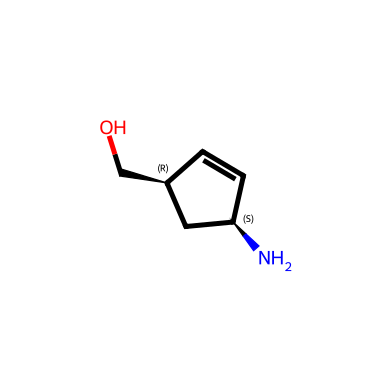 N[C@@H]1C=C[C@H](CO)C1